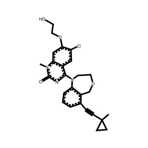 Cn1c(=O)nc(N2CCOCc3c(C#CC4(C)CC4)cccc32)c2cc(Cl)c(OCCO)cc21